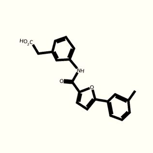 Cc1cccc(-c2ccc(C(=O)Nc3cccc(CC(=O)O)c3)o2)c1